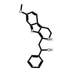 COc1ccc2c(c1)=NC1=C(CC(O)c3ccccc3)NCCC=21